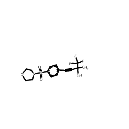 CC(O)(C#Cc1ccc(S(=O)(=O)N2CCOCC2)cc1)C(F)(F)F